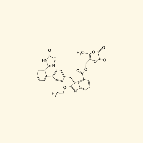 CCOc1nc2cccc(C(=O)OCc3oc(=O)c(=O)oc3C)c2n1Cc1ccc(-c2ccccc2-c2noc(=O)[nH]2)cc1